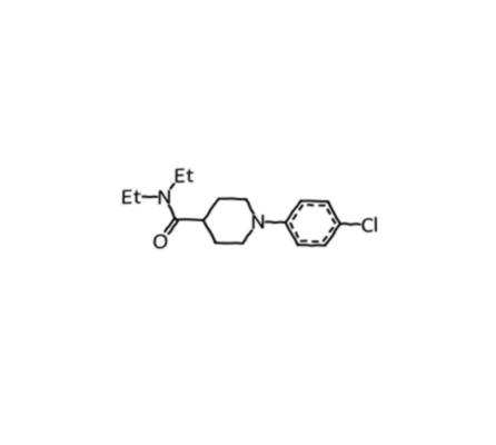 CCN(CC)C(=O)C1CCN(c2ccc(Cl)cc2)CC1